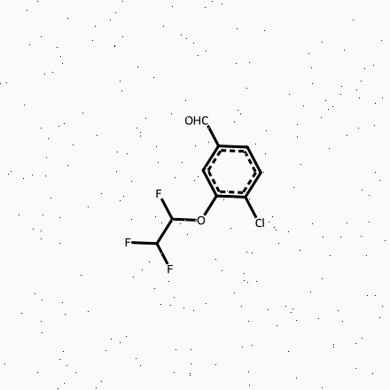 O=Cc1ccc(Cl)c(OC(F)C(F)F)c1